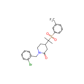 CC(C)(C1CCN(Cc2ccccc2Br)C(=O)C1)S(=O)(=O)c1cccc(C(F)(F)F)c1